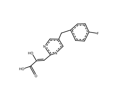 O=C(O)C(O)=Cc1ncc(Cc2ccc(F)cc2)cn1